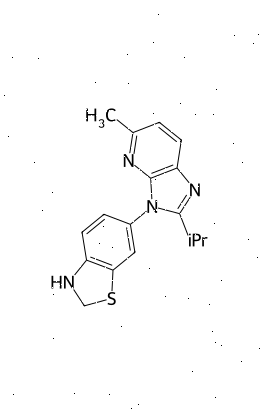 Cc1ccc2nc(C(C)C)n(-c3ccc4c(c3)SCN4)c2n1